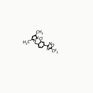 Cc1cc(C)n(Cc2ccc(-c3noc(C(F)(F)F)n3)cc2Cl)n1